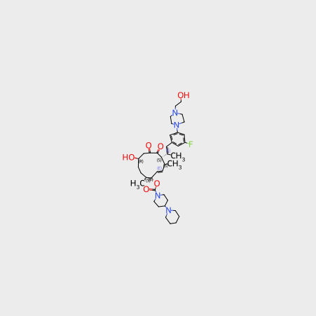 C/C(=C\c1cc(F)cc(N2CCN(CCO)CC2)c1)[C@H]1C(=O)C(=O)C[C@H](O)CC[C@H](C)[C@@H](OC(=O)N2CCC(N3CCCCC3)CC2)/C=C/[C@@H]1C